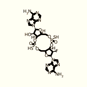 Nc1ncnc2c1ncn2[C@@H]1O[C@@H]2CO[P@](=O)(S)O[C@@H]3C(CO[P@@](=O)(S)O[C@H]2[C@H]1O)O[C@@H](n1cnc2c(N)ncnc21)[C@@H]3F